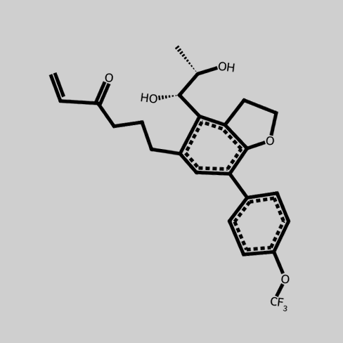 C=CC(=O)CCCc1cc(-c2ccc(OC(F)(F)F)cc2)c2c(c1[C@H](O)[C@H](C)O)CCO2